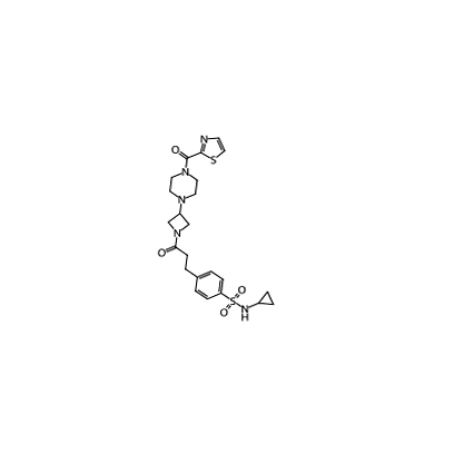 O=C(CCc1ccc(S(=O)(=O)NC2CC2)cc1)N1CC(N2CCN(C(=O)c3nccs3)CC2)C1